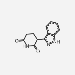 O=C1CCC(c2n[nH]c3ccccc23)C(=O)N1